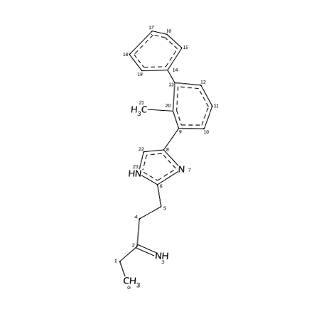 CCC(=N)CCc1nc(-c2cccc(-c3ccccc3)c2C)c[nH]1